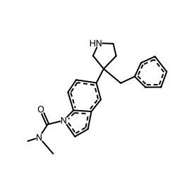 CN(C)C(=O)n1ccc2cc(C3(Cc4ccccc4)CCNC3)ccc21